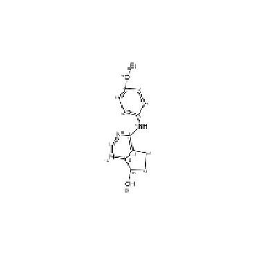 CCOc1ccc(Nc2ncnc3c2CCC3O)cc1